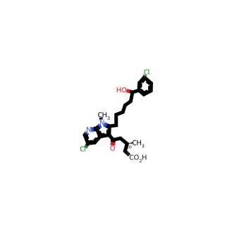 C[C@H](CC(=O)O)CC(=O)c1c(CCCCCC(O)c2cccc(Cl)c2)n(C)c2ncc(Cl)cc12